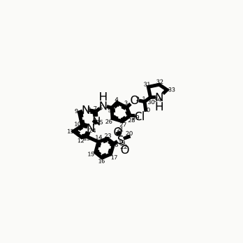 CC(Oc1cc(Nc2ncc3ccc(-c4cccc(S(C)(=O)=O)c4)n3n2)ccc1Cl)C1CCCN1